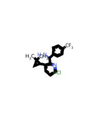 CC1(C)CC1c1cccnc1[C@@H](N)c1ccc(C(F)(F)F)cc1.Cl